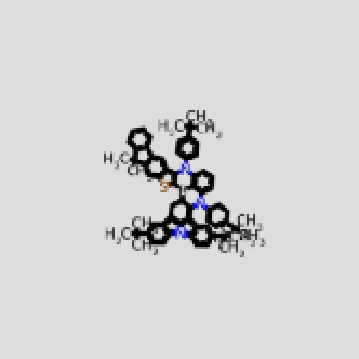 CC(C)(C)C1=CC=C(N2C3=c4c5cc(C(C)(C)C)ccc5n5c4c(c4cc(C(C)(C)C)ccc45)CC3B3c4sc5cc6c(cc5c4N(c4ccc(C(C)(C)C)cc4)c4cccc2c43)-c2ccccc2C6(C)C)CC1